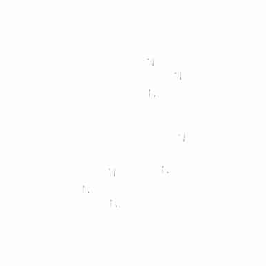 c1cc(N2CCCN3CCCN=C32)c2ccc3c(N4CCCN5CCCN=C54)ccnc3c2n1